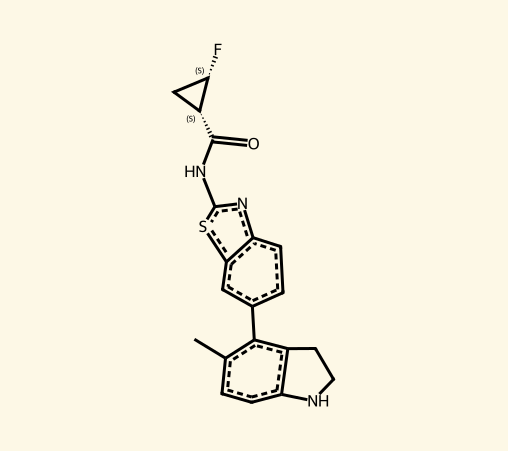 Cc1ccc2c(c1-c1ccc3nc(NC(=O)[C@@H]4C[C@@H]4F)sc3c1)CCN2